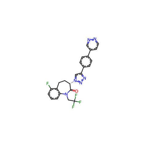 O=C1[C@@H](n2cc(-c3ccc(-c4ccnnc4)cc3)nn2)CCc2c(F)cccc2N1CC(F)(F)F